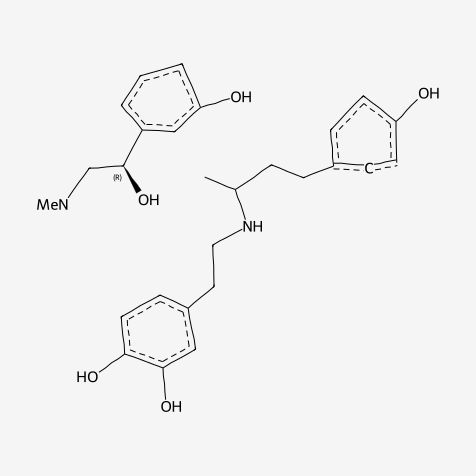 CC(CCc1ccc(O)cc1)NCCc1ccc(O)c(O)c1.CNC[C@H](O)c1cccc(O)c1